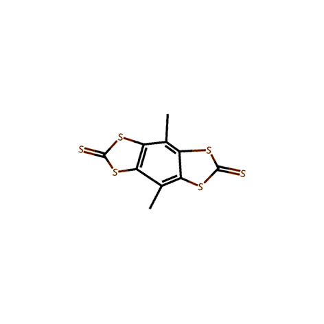 Cc1c2sc(=S)sc2c(C)c2sc(=S)sc12